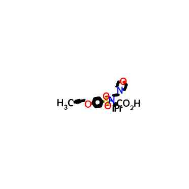 CC#CCOc1ccc(S(=O)(=O)N(CCN2CCOCC2)C(C(=O)O)C(C)C)cc1